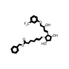 O=C(CCCC=CC[C@@H]1[C@@H](/C=C/[C@@H](O)COc2cccc(C(F)(F)F)c2)[C@H](O)C[C@@H]1O)OCc1ccccc1